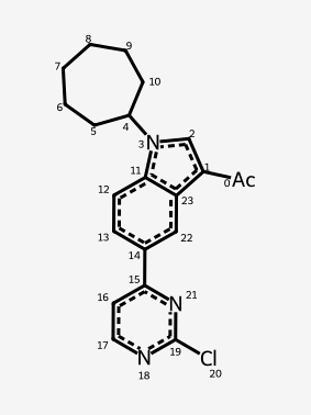 CC(=O)c1cn(C2CCCCCC2)c2ccc(-c3ccnc(Cl)n3)cc12